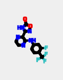 O=c1[nH]c(-c2nccnc2Nc2ccc(C(F)(F)F)c(F)c2)no1